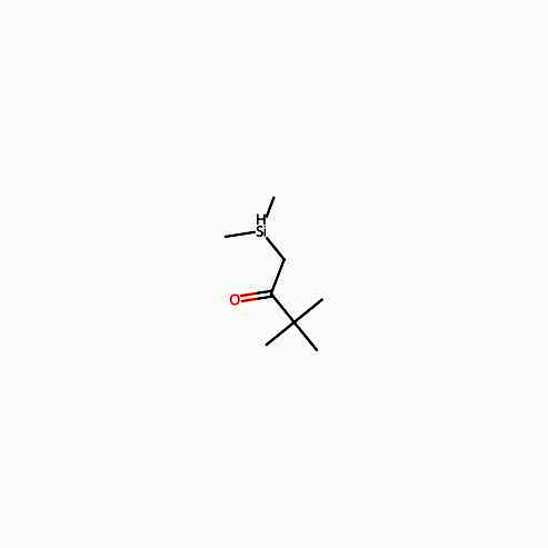 C[SiH](C)CC(=O)C(C)(C)C